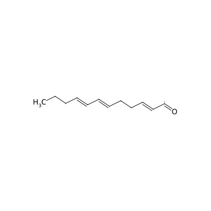 CCCC=CC=CCCC=C[C]=O